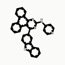 c1ccc2c(c1)oc1ccc(-c3nc(Nc4ccncc4)nc4c5ccccc5c5ccccc5c34)cc12